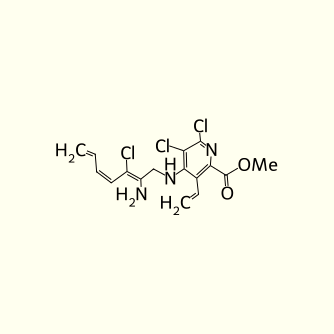 C=C/C=C\C(Cl)=C(/N)CNc1c(Cl)c(Cl)nc(C(=O)OC)c1C=C